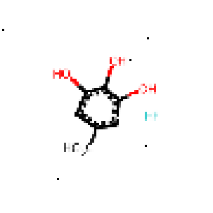 F.O=C(O)c1cc(O)c(O)c(O)c1